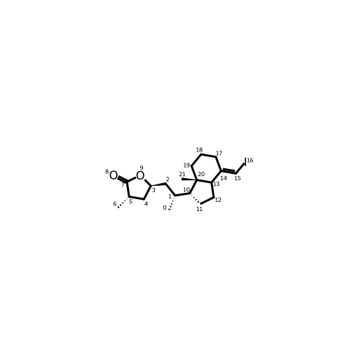 C[C@H](C[C@H]1C[C@H](C)C(=O)O1)[C@H]1CCC2C(=CI)CCC[C@]21C